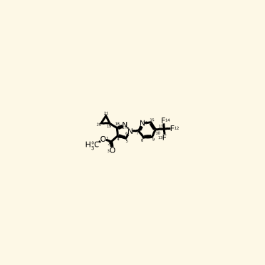 COC(=O)c1cn(-c2ccc(C(F)(F)F)cn2)nc1C1CC1